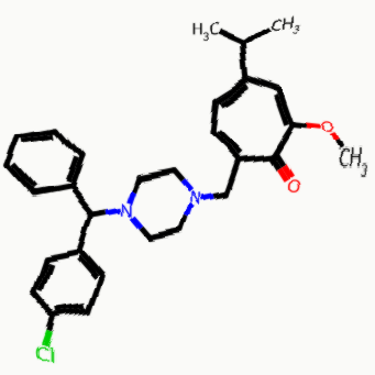 COc1cc(C(C)C)ccc(CN2CCN(C(c3ccccc3)c3ccc(Cl)cc3)CC2)c1=O